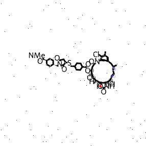 CNC(=O)[C@H]1CC[C@H](CN2C(=O)CC(SCC3CCC(C(=O)O[C@H]4CC(=O)N(C)c5cc(cc(C)c5Cl)C/C(C)=C/C=C/[C@@H](C)[C@@]5(O)C[C@H](OC(=O)N5)[C@@H](C)[C@@H]5O[C@@]45C)CC3)C2=O)CC1